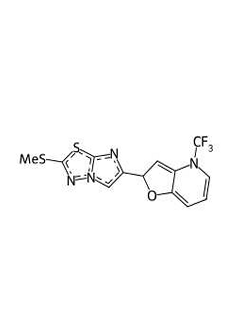 CSc1nn2cc(C3C=C4C(=CC=CN4C(F)(F)F)O3)nc2s1